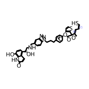 O=C(OC1CC2CCC1CN2CCCn1nnc2cc(CNC[C@H](O)c3ccc(O)c4[nH]c(=O)ccc34)ccc21)C1(c2cccs2)OC/C1=C\C=C/S